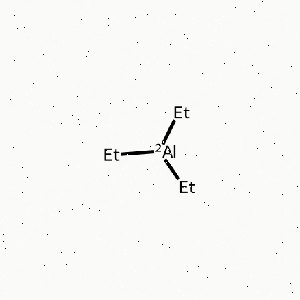 C[CH2][2Al]([CH2]C)[CH2]C